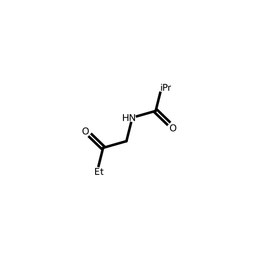 CCC(=O)CNC(=O)C(C)C